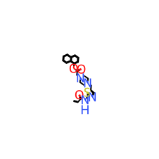 C=CC(=O)Nc1ncc(CN2CCN(CC(=O)Oc3cccc4ccccc34)CC2)s1